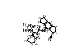 N#CC1CCc2cc3c(c(NC(=O)c4nn5c(c4S(=N)(N)=O)OCCC5)c21)CCC3